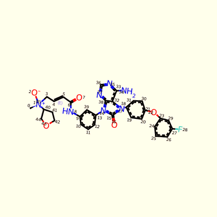 C[N@@+]([O-])(C/C=C/C(=O)Nc1cccc(-n2c(=O)n(-c3ccc(Oc4cccc(F)c4)cc3)c3c(N)ncnc32)c1)C1CCOC1